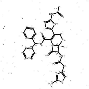 CC(=O)Nc1nnc(C2=C(C(=O)OC(c3ccccc3)c3ccccc3)N3C(=O)C(NC(=O)Cc4csc(N)n4)[C@@H]3SC2)s1